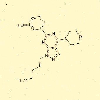 NCCCCn1nnc2c(N3CCOCC3)nc(-c3cccc(O)c3)nc21